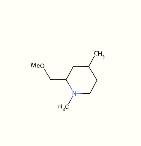 COCC1CC(C)CCN1C